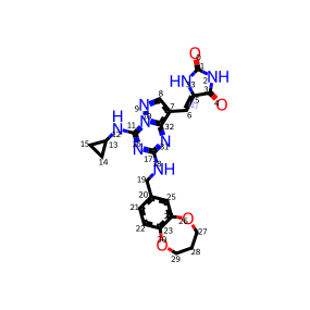 O=C1NC(=O)/C(=C/c2cnn3c(NC4CC4)nc(NCc4ccc5c(c4)OCCCO5)nc23)N1